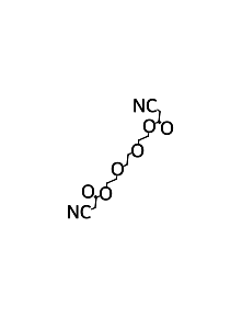 N#CCC(=O)OCCOCCOCCOC(=O)CC#N